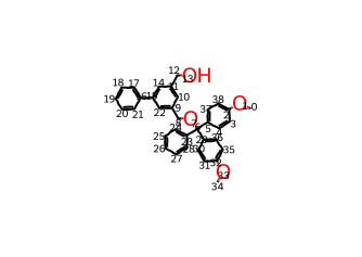 COc1ccc(C(OCc2cc(CO)cc(-c3ccccc3)c2)(c2ccccc2)c2ccc(OC)cc2)cc1